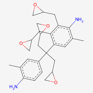 Cc1cc(C(CC2CO2)(CC2CO2)c2cc(C)c(N)c(CC3CO3)c2CC2CO2)ccc1N